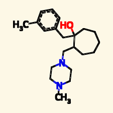 Cc1cccc(CC2(O)CCCCCC2CN2CCN(C)CC2)c1